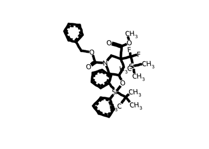 COC(=O)C1(C(F)(F)[Si](C)(C)C)CC(O[Si](c2ccccc2)(c2ccccc2)C(C)(C)C)CN(C(=O)OCc2ccccc2)C1